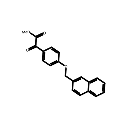 COC(=O)C(=O)c1ccc(OCc2ccc3ccccc3c2)cc1